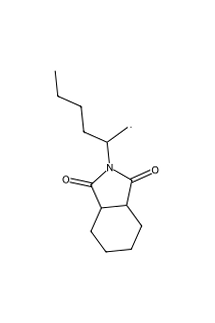 [CH2]C(CCCC)N1C(=O)C2CCCCC2C1=O